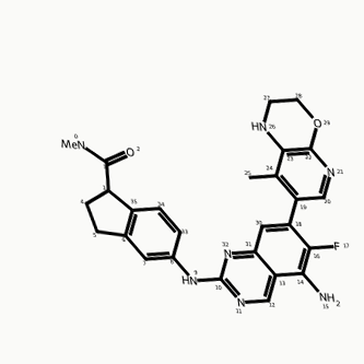 CNC(=O)C1CCc2cc(Nc3ncc4c(N)c(F)c(-c5cnc6c(c5C)NCCO6)cc4n3)ccc21